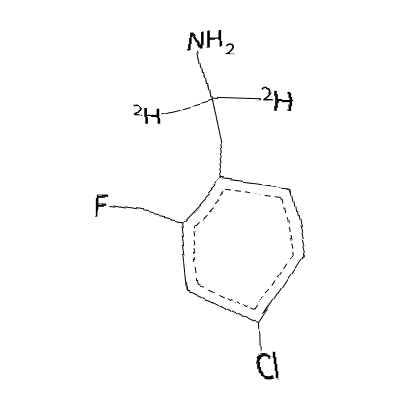 [2H]C([2H])(N)c1ccc(Cl)cc1F